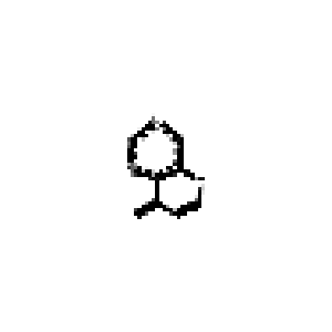 C=C1C=COc2cncnc21